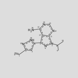 C=Cc1cc(-c2nn(C(C)C)c3ncnc(N)c23)[nH]n1